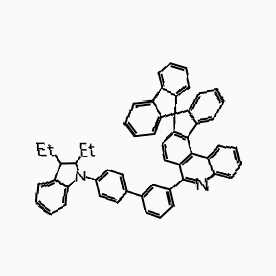 CCC1c2ccccc2N(c2ccc(-c3cccc(-c4nc5ccccc5c5c6c(ccc45)C4(c5ccccc5-c5ccccc54)c4ccccc4-6)c3)cc2)C1CC